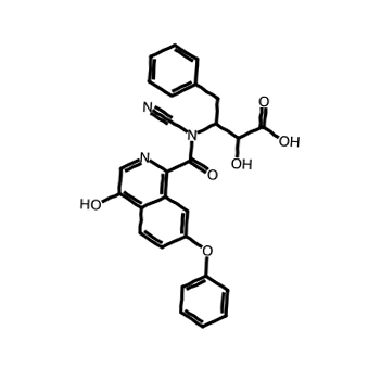 N#CN(C(=O)c1ncc(O)c2ccc(Oc3ccccc3)cc12)C(Cc1ccccc1)C(O)C(=O)O